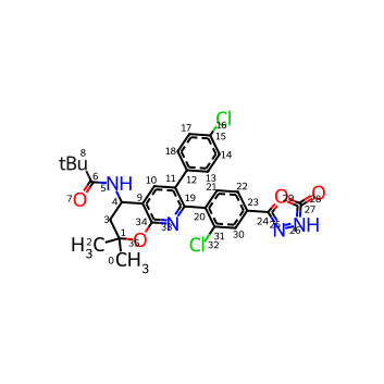 CC1(C)CC(NC(=O)C(C)(C)C)c2cc(-c3ccc(Cl)cc3)c(-c3ccc(-c4n[nH]c(=O)o4)cc3Cl)nc2O1